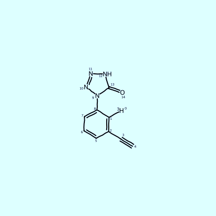 [3H]c1c(C#C)cccc1-n1nn[nH]c1=O